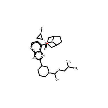 CC(C)COC(O)N1CCOC(c2nc3c(N4CC5CCC(C4)N5C(=O)[C@@H]4C[C@H]4F)ccnc3[nH]2)C1